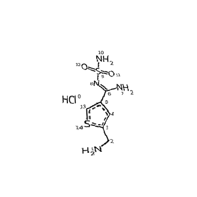 Cl.NCc1cc(C(N)=NS(N)(=O)=O)cs1